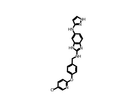 Clc1ccc(Oc2ccc(CNc3nc4ccc(Nc5cc[nH]n5)cc4[nH]3)cc2)nc1